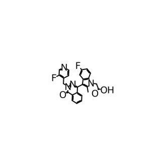 Cc1c(-c2nn(Cc3ccncc3F)c(=O)c3ccccc23)c2cc(F)ccc2n1CC(=O)O